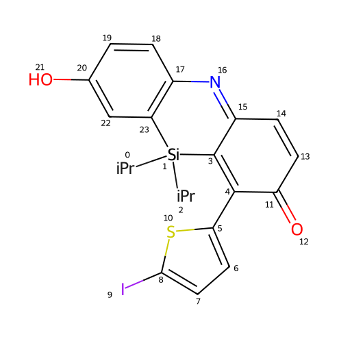 CC(C)[Si]1(C(C)C)C2=C(c3ccc(I)s3)C(=O)C=CC2=Nc2ccc(O)cc21